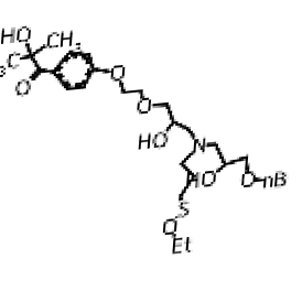 CCCCOCC(O)CN(CCCSOCC)CC(O)COCCOc1ccc(C(=O)C(C)(C)O)cc1